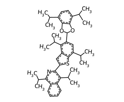 CC(C)c1ccc(C(C)C)c2c1OC(c1cc(C(C)C)c3sc(-c4nc(C(C)C)c5ccccc5c4C(C)C)cc3c1C(C)C)O2